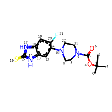 CC(C)(C)OC(=O)N1CCN(c2cc3[nH]c(=S)[nH]c3cc2F)CC1